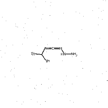 CCC(C=C=NNN)C(C)C